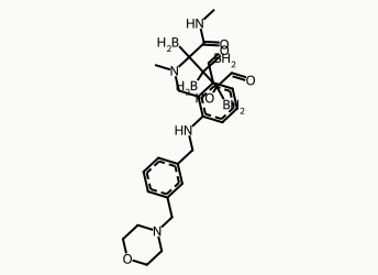 BC(O)(C=O)C(B)(B)C(B)(C(=O)NC)N(C)Cc1c(C=O)cccc1NCc1cccc(CN2CCOCC2)c1